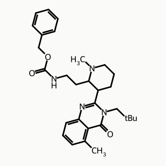 Cc1cccc2nc(C3CCCN(C)C3CCNC(=O)OCc3ccccc3)n(CC(C)(C)C)c(=O)c12